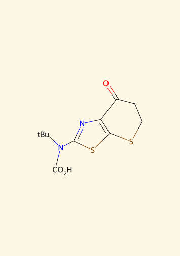 CC(C)(C)N(C(=O)O)c1nc2c(s1)SCCC2=O